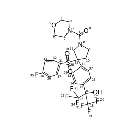 O=C(N1CCOCC1)N1CCC(c2ccc(C(O)(C(F)(F)F)C(F)(F)F)cc2)(S(=O)(=O)c2ccc(F)cc2)C1